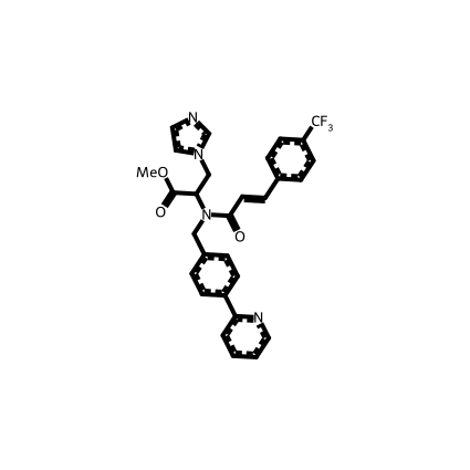 COC(=O)C(Cn1ccnc1)N(Cc1ccc(-c2ccccn2)cc1)C(=O)C=Cc1ccc(C(F)(F)F)cc1